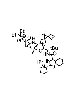 C=C[C@@H]1C[C@]1(NC(=O)[C@@H]1C[C@@]2(CN1C(=O)[C@@H](NC(=O)C(NC(=O)[C@@H]1CCCCN1C(C)C)C1CCCCC1)C(C)(C)C)C(C)(C)C21CCC1)C(=O)NS(=O)(=O)N(CC)CC